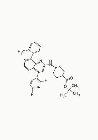 Cc1ccccc1-c1nccc2c(-c3ccc(F)cc3F)cc(NC3CCN(C(=O)OC(C)(C)C)CC3)nc12